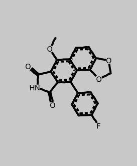 COc1c2c(c(-c3ccc(F)cc3)c3c4c(ccc13)OCO4)C(=O)NC2=O